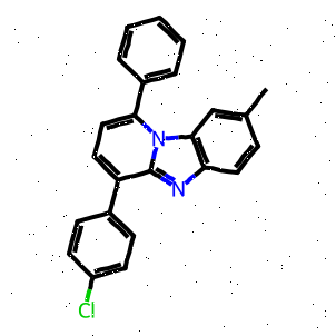 Cc1ccc2nc3c(-c4ccc(Cl)cc4)ccc(-c4ccccc4)n3c2c1